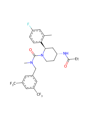 CCC(=O)N[C@@H]1CCN(C(=O)N(C)Cc2cc(C(F)(F)F)cc(C(F)(F)F)c2)[C@@H](c2ccc(F)cc2C)C1